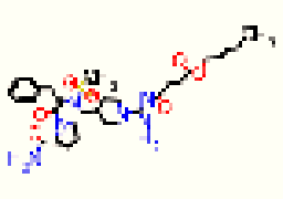 CCCCCOC(=O)CCC(=O)N=C(N)N1CCC(CN([C@H](Cc2ccccc2)C(=O)N2CCC[C@H]2C(N)=O)S(C)(=O)=O)CC1